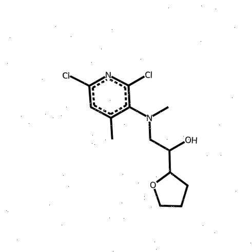 Cc1cc(Cl)nc(Cl)c1N(C)CC(O)C1CCCO1